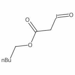 CCCCCOC(=O)CI=O